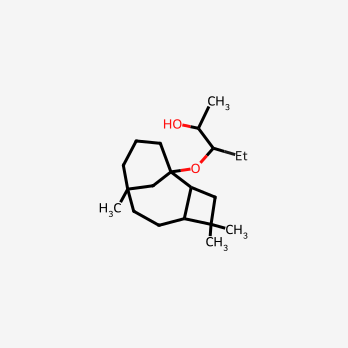 CCC(OC12CCCC(C)(CCC3C1CC3(C)C)C2)C(C)O